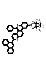 CC1(C)OB(c2ccc3nc(-c4ccccc4)c4c5ccc(-c6cc7ccccc7c7ccccc67)nc5ccc4c3c2)OC1(C)C